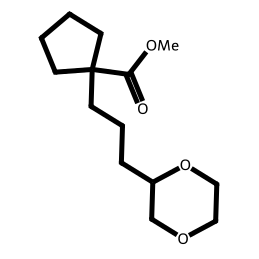 COC(=O)C1(CCCC2COCCO2)CCCC1